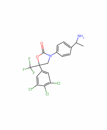 CC(N)c1ccc(N2CC(c3cc(Cl)c(Cl)c(Cl)c3)(C(F)(F)F)OC2=O)cc1